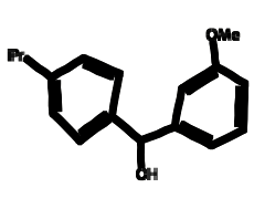 COc1cccc(C(O)c2ccc(C(C)C)cc2)c1